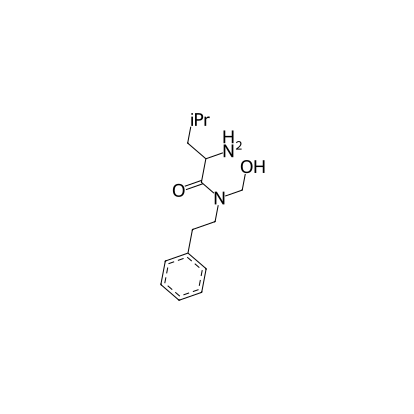 CC(C)CC(N)C(=O)N(CO)CCc1ccccc1